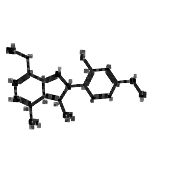 CCOc1ccc(-n2nc3c(CC#N)nnc(C)c3c2C)c(F)c1